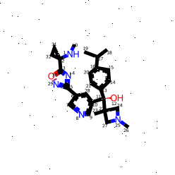 CNC1(c2nc(-c3cncc([C@@](O)(c4ccc(C(C)C)cc4)C4(C)CN(C)C4)c3)no2)CC1